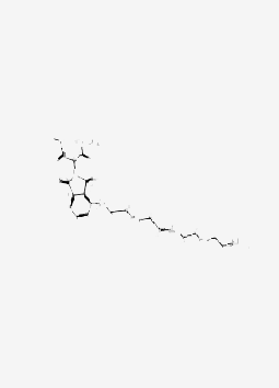 CNC(=O)C(C(=O)CC=O)N1C(=O)c2cccc(NCCOCCOCCOCCN)c2C1=O